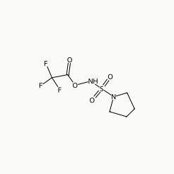 O=C(ONS(=O)(=O)N1CCCC1)C(F)(F)F